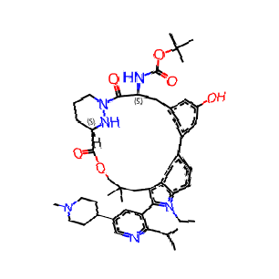 CCn1c(-c2cc(C3CCN(C)CC3)cnc2C(C)C)c2c3cc(ccc31)-c1cc(O)cc(c1)C[C@H](NC(=O)OC(C)(C)C)C(=O)N1CCC[C@H](N1)C(=O)OCC(C)(C)C2